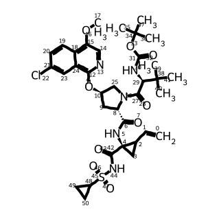 C=CC1C[C@]1(NC(=O)[C@@H]1C[C@@H](Oc2ncc(OC)c3ccc(Cl)cc23)CN1C(=O)[C@@H](NC(=O)OC(C)(C)C)C(C)(C)C)C(=O)NS(=O)(=O)C1CC1